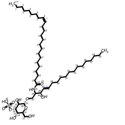 CCCCCCCC/C=C\CCCCCCCCCCCCCC(=O)NC(CO[C@@H]1OC(CO)[C@H](O)[C@H](OS(=O)(=O)O)C1O)[C@H](O)/C=C/CCCCCCCCCCCCC